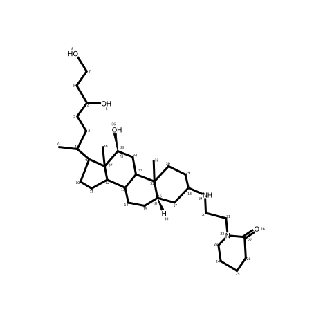 CC(CCC(O)CCO)C1CCC2C3CC[C@H]4CC(NCCN5CCCCC5=O)CCC4(C)C3C[C@H](O)C12C